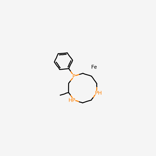 CC1CP(c2ccccc2)CCCPCCP1.[Fe]